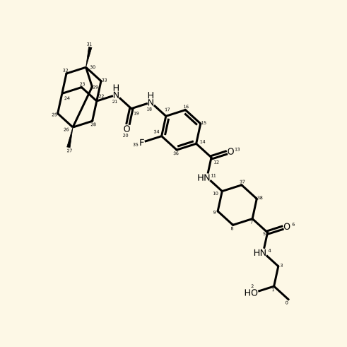 CC(O)CNC(=O)C1CCC(NC(=O)c2ccc(NC(=O)NC34CC5C[C@@](C)(C3)C[C@](C)(C5)C4)c(F)c2)CC1